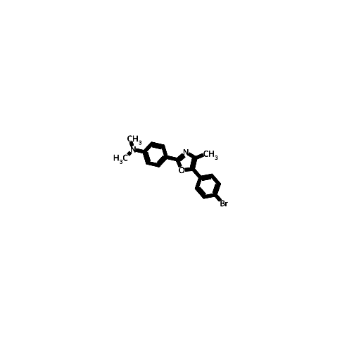 Cc1nc(-c2ccc(N(C)C)cc2)oc1-c1ccc(Br)cc1